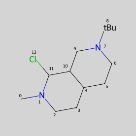 CN1CCC2CCN(C(C)(C)C)CC2C1Cl